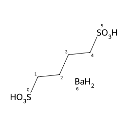 O=S(=O)(O)CCCCS(=O)(=O)O.[BaH2]